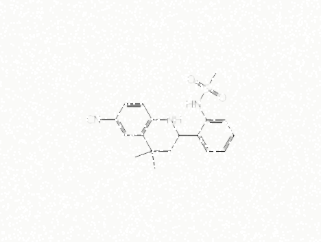 [C-]#[N+]c1ccc2c(c1)C(C)(C)CC(c1ccccc1NS(C)(=O)=O)N2